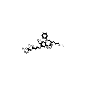 CCCCC1CN(c2ccccc2)c2cc(SC)c(O/C=C/C(=O)OC(C)(C)C)cc2S(=O)(=O)C1(F)F